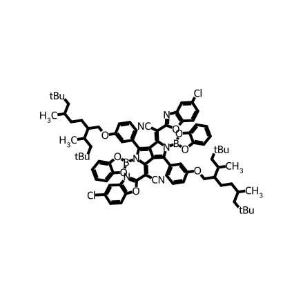 CC(CCC(COc1cccc(-c2c3/c(=C(\C#N)c4nc5cc(Cl)ccc5o4)n(B4Oc5ccccc5O4)c(-c4cccc(OCC(CCC(C)CC(C)(C)C)C(C)CC(C)(C)C)c4)c3/c(=C(\C#N)c3nc4cc(Cl)ccc4o3)n2B2Oc3ccccc3O2)c1)C(C)CC(C)(C)C)CC(C)(C)C